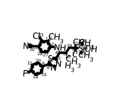 Cc1c(N[C@@H](c2nnc(-c3ccc(F)cc3)s2)[C@H](C)CC(C)(C)[Si](C)(C)O)ccc(C#N)c1Cl